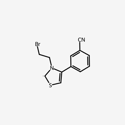 N#Cc1cccc(C2=CS[CH]N2CCBr)c1